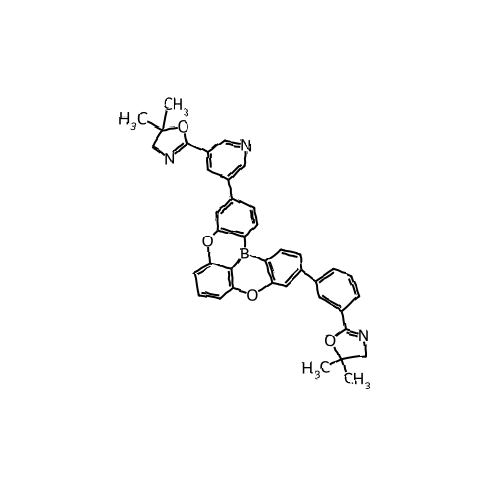 CC1(C)CN=C(c2cccc(-c3ccc4c(c3)Oc3cccc5c3B4c3ccc(-c4cncc(C6=NCC(C)(C)O6)c4)cc3O5)c2)O1